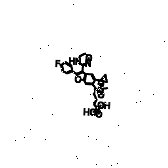 CS(=O)(=O)N(CCCP(=O)(O)O)c1cc2oc(-c3ccc(F)cc3)c(C3=NOCCN3)c2cc1C1CC1